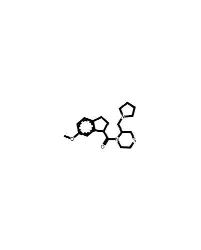 COc1ccc2c(c1)C(C(=O)N1CCSCC1CN1CCCC1)CC2